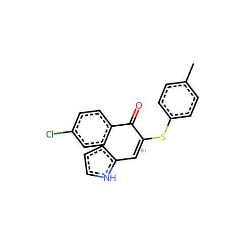 Cc1ccc(S/C(=C/c2ccc[nH]2)C(=O)c2ccc(Cl)cc2)cc1